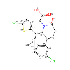 O=C(O)CN1C(=O)CCC(c2cccc(Cl)c2)C1C(c1ccc(Cl)s1)C1CC1